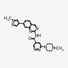 CN1CCN(c2cc(C(=O)Nc3ncc4ccc(-c5cnn(C)c5)cc4n3)cnn2)CC1